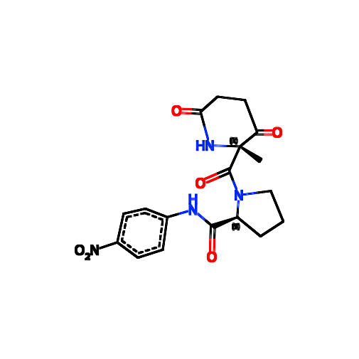 C[C@@]1(C(=O)N2CCC[C@H]2C(=O)Nc2ccc([N+](=O)[O-])cc2)NC(=O)CCC1=O